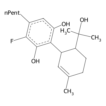 CCCCCc1cc(O)c(C2C=C(C)CCC2C(C)(C)O)c(O)c1F